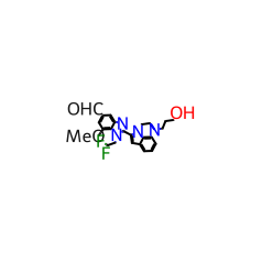 COc1cc(C=O)cc2nc(-c3cc4cccc5c4n3CCN5CCCO)n(CC(F)F)c12